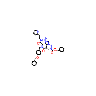 O=C(CN(Cc1ccc(OCc2ccccc2)cc1)C(=O)[C@@H](CNC(=O)OCc1ccccc1)c1c[nH]cn1)NCCc1ccccn1